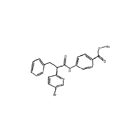 CC(C)(C)OC(=O)c1ccc(NC(=O)C(Cc2ccccc2)c2ccc(Br)cn2)cc1